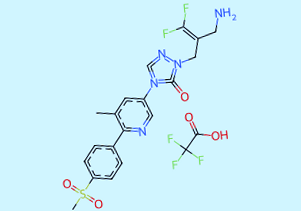 Cc1cc(-n2cnn(CC(CN)=C(F)F)c2=O)cnc1-c1ccc(S(C)(=O)=O)cc1.O=C(O)C(F)(F)F